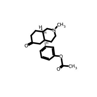 CC(=O)Oc1cccc([C@@]23CCN(C)C[C@@H]2CCC(=O)C3)c1